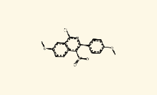 COc1ccc(-c2nc(Cl)c3cc(OC)ccc3c2[N+](=O)[O-])cc1